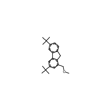 COCc1cc(C(C)(C)C)cc2c1Cc1ccc(C(C)(C)C)cc1-2